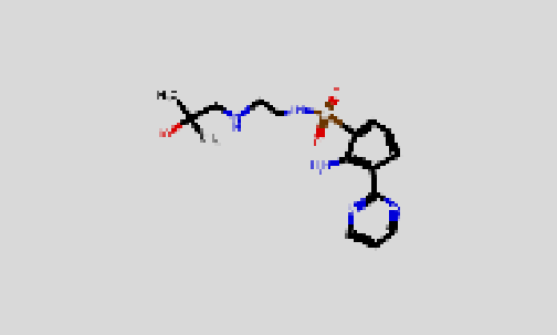 CC(C)(O)CNCCNS(=O)(=O)c1cccc(-c2ncccn2)c1N